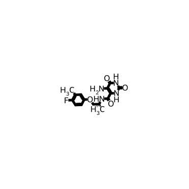 Cc1cc(OC[C@@H](C)NC(=O)c2[nH]c(=O)[nH]c(=O)c2N)ccc1F